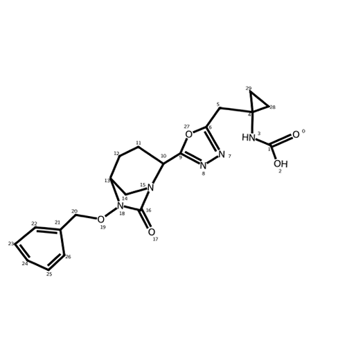 O=C(O)NC1(Cc2nnc(C3CCC4CN3C(=O)N4OCc3ccccc3)o2)CC1